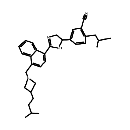 CC(C)CCC1CN(Cc2ccc(C3=NCC(c4ccc(CC(C)C)c(C#N)c4)N3)c3ccccc23)C1